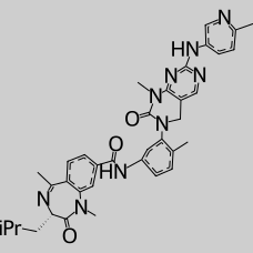 CC1=N[C@@H](CC(C)C)C(=O)N(C)c2cc(C(=O)Nc3ccc(C)c(N4Cc5cnc(Nc6ccc(C)nc6)nc5N(C)C4=O)c3)ccc21